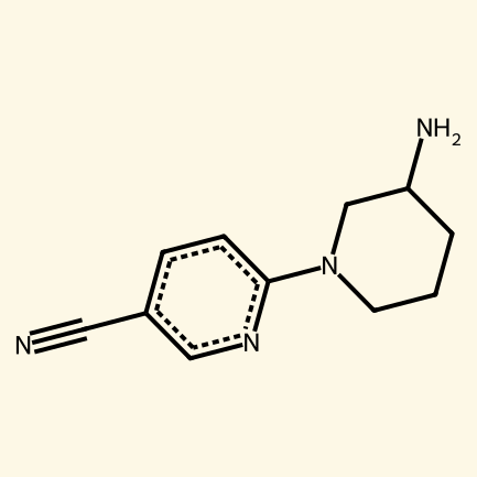 N#Cc1ccc(N2CCCC(N)C2)nc1